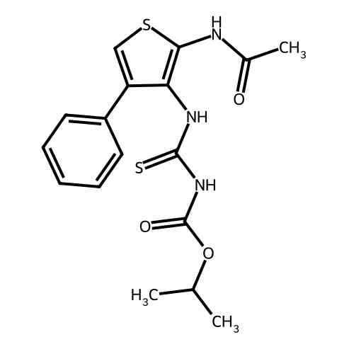 CC(=O)Nc1scc(-c2ccccc2)c1NC(=S)NC(=O)OC(C)C